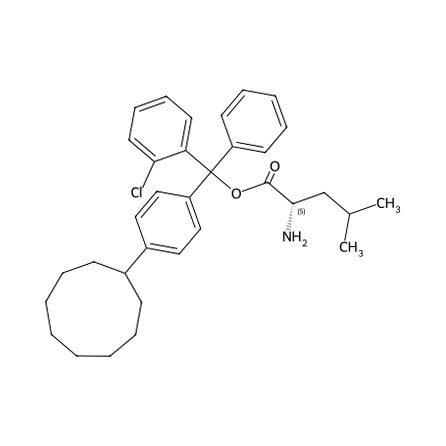 CC(C)C[C@H](N)C(=O)OC(c1ccccc1)(c1ccc(C2CCCCCCCC2)cc1)c1ccccc1Cl